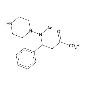 CC(=O)N(C(CC(=O)C(=O)O)c1ccccc1)N1CCNCC1